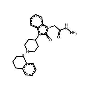 NNC(=O)Cn1c(=O)n(C2CCN([C@H]3CCCc4ccccc43)CC2)c2ccccc21